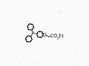 CCOC(=O)CCl.c1ccc(P(c2ccccc2)c2ccccc2)cc1